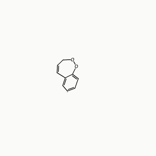 [c]1ccc2c(c1)C=CCOO2